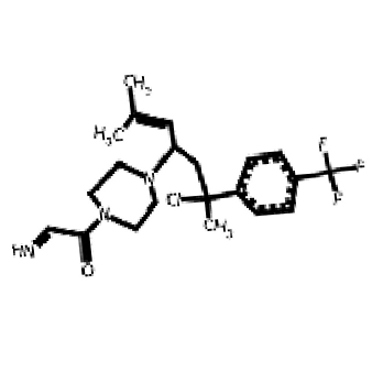 CC(C)=CC(CC(C)(Cl)c1ccc(C(F)(F)F)cc1)N1CCN(C(=O)C=N)CC1